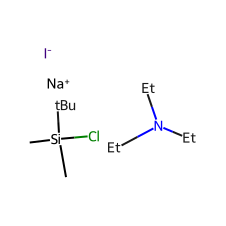 CC(C)(C)[Si](C)(C)Cl.CCN(CC)CC.[I-].[Na+]